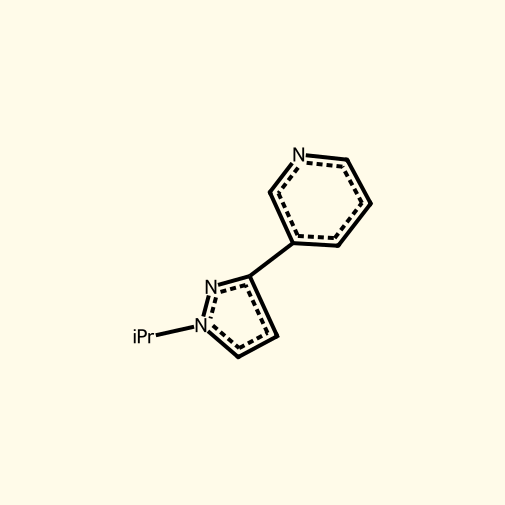 CC(C)n1ccc(-c2cccnc2)n1